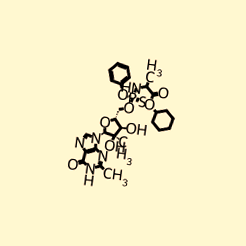 Cc1nc2c(ncn2[C@@H]2O[C@H](COP(=S)(NC(C)C(=O)OC3CCCCC3)Oc3ccccc3)[C@@H](O)[C@@]2(C)O)c(=O)[nH]1